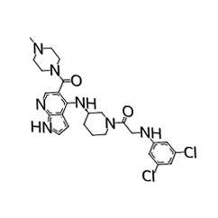 CN1CCN(C(=O)c2cnc3[nH]ccc3c2N[C@@H]2CCCN(C(=O)CNc3cc(Cl)cc(Cl)c3)C2)CC1